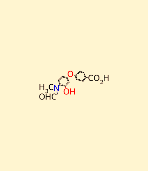 CN(CC=O)c1ccc(Oc2ccc(C(=O)O)cc2)cc1O